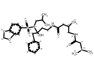 CC(C)CN(C(O)(CCNC(=O)CC(C)CNC(=O)CN(C)C)Cc1ccccc1)S(=O)(=O)c1ccc2c(c1)OCO2